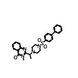 CC(c1nc2ccccc2c(=O)n1C)N1CCN(S(=O)(=O)c2ccc(-c3ccccc3)cc2)CC1